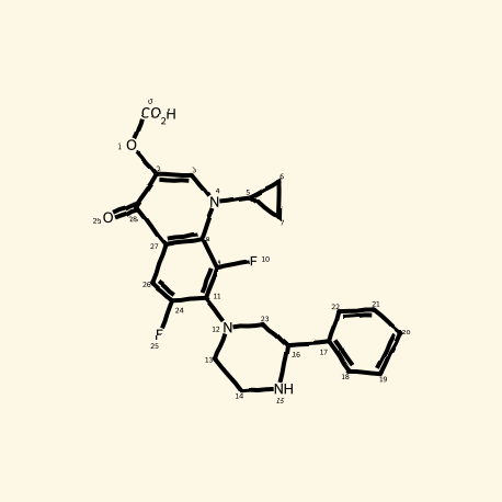 O=C(O)Oc1cn(C2CC2)c2c(F)c(N3CCNC(c4ccccc4)C3)c(F)cc2c1=O